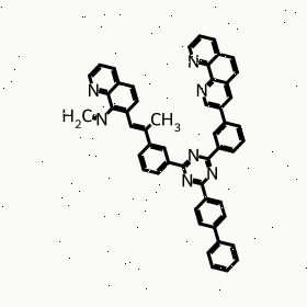 C=Nc1c(/C=C(\C)c2cccc(-c3nc(-c4ccc(-c5ccccc5)cc4)nc(-c4cccc(-c5cnc6c(ccc7cccnc76)c5)c4)n3)c2)ccc2cccnc12